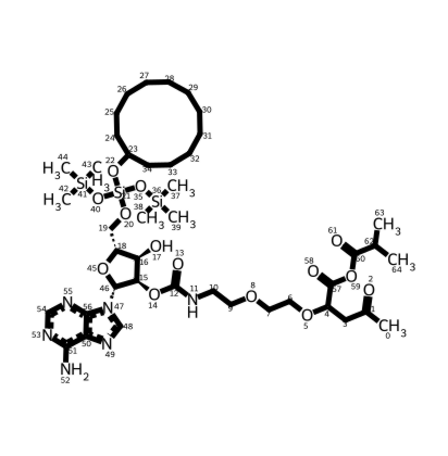 CC(=O)CC(OCCOCCNC(=O)O[C@@H]1[C@H](O)[C@@H](CO[Si](OC2CCCCCCCCCCC2)(O[Si](C)(C)C)O[Si](C)(C)C)O[C@H]1n1cnc2c(N)ncnc21)C(=O)OC(=O)C(C)C